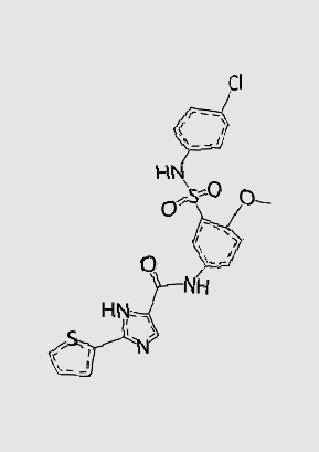 COc1ccc(NC(=O)c2cnc(-c3cccs3)[nH]2)cc1S(=O)(=O)Nc1ccc(Cl)cc1